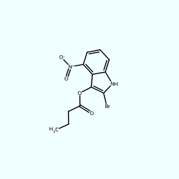 CCCC(=O)Oc1c(Br)[nH]c2cccc([N+](=O)[O-])c12